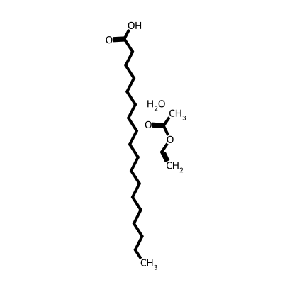 C=COC(C)=O.CCCCCCCCCCCCCCCCCC(=O)O.O